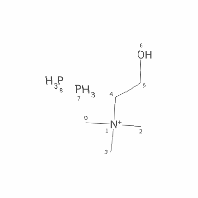 C[N+](C)(C)CCO.P.P